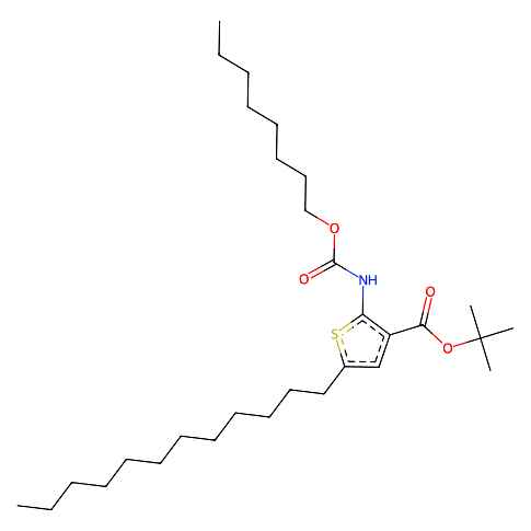 CCCCCCCCCCCCc1cc(C(=O)OC(C)(C)C)c(NC(=O)OCCCCCCCC)s1